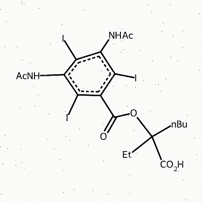 CCCCC(CC)(OC(=O)c1c(I)c(NC(C)=O)c(I)c(NC(C)=O)c1I)C(=O)O